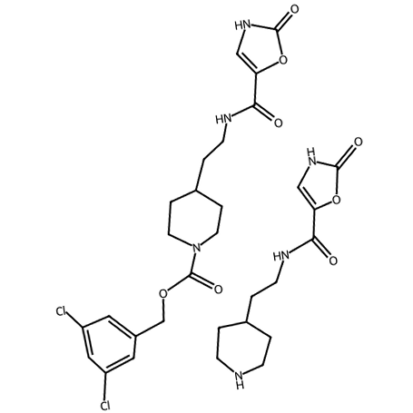 O=C(NCCC1CCN(C(=O)OCc2cc(Cl)cc(Cl)c2)CC1)c1c[nH]c(=O)o1.O=C(NCCC1CCNCC1)c1c[nH]c(=O)o1